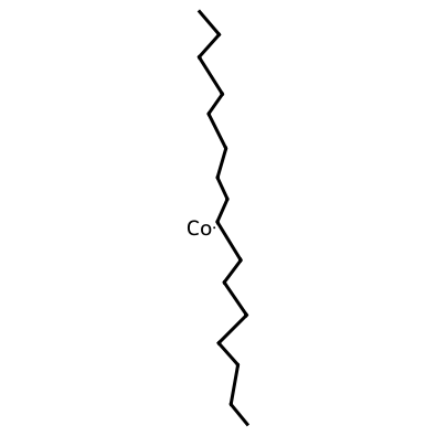 CCCCCCCCCCCCCCCC.[Co]